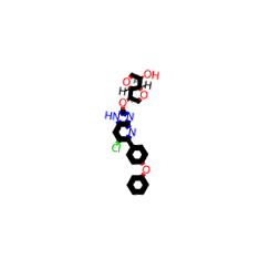 O[C@@H]1CO[C@H]2[C@@H]1OC[C@H]2Oc1nc2nc(-c3ccc(Oc4ccccc4)cc3)c(Cl)cc2[nH]1